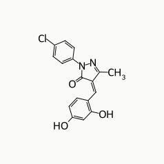 CC1=NN(c2ccc(Cl)cc2)C(=O)C1=Cc1ccc(O)cc1O